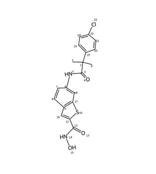 CC(C)(C(=O)Nc1ccc2cc(C(=O)NO)sc2c1)c1ccc(Cl)cc1